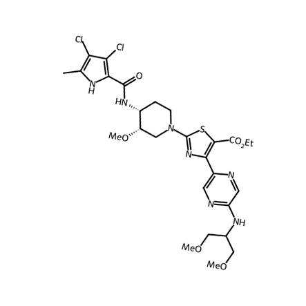 CCOC(=O)c1sc(N2CC[C@@H](NC(=O)c3[nH]c(C)c(Cl)c3Cl)[C@@H](OC)C2)nc1-c1cnc(NC(COC)COC)cn1